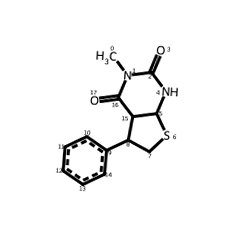 CN1C(=O)NC2SCC(c3ccccc3)C2C1=O